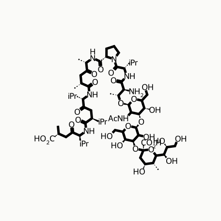 CC(=O)NC1[C@@H](O[C@H](C)[C@H](N)C(=O)N[C@H](C(=O)N2CCC[C@H]2C(=O)N[C@@H](C)C(=O)C[C@@H](C)C(=O)N[C@H](C(=O)C[C@H](C(=O)N[C@H](C(=O)C[C@@H](C)C(=O)O)C(C)C)C(C)C)C(C)C)C(C)C)OC(CO)[C@H](O)[C@@H]1O[C@@H]1OC(CO)[C@H](O)[C@H](O[C@]2(C(=O)O)C[C@@H](O)[C@@H](C)C([C@H](O)[C@H](O)CO)O2)C1O